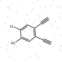 C#Cc1cc(C#N)c(CC)cc1C#C